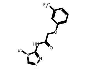 CCn1cnnc1NC(=O)COc1cccc(C(F)(F)F)c1